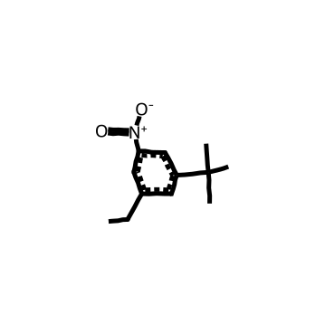 CCc1cc([N+](=O)[O-])cc(C(C)(C)C)c1